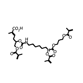 C=C(C)C(=O)OCCCOC(=O)N(CCCCCCNC(=O)OC(CC=C(C)C(=O)O)COC(=O)C(=C)C)OC(=O)C(=C)C